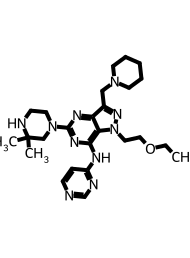 CCOCCn1nc(CN2CCCCC2)c2nc(N3CCNC(C)(C)C3)nc(Nc3ccncn3)c21